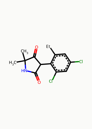 CCc1cc(Cl)cc(Cl)c1C1C(=O)NC(C)(C)C1=O